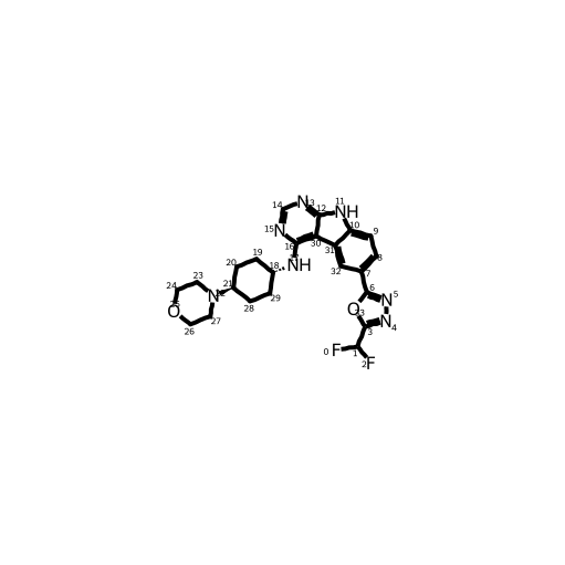 FC(F)c1nnc(-c2ccc3[nH]c4ncnc(N[C@H]5CC[C@H](N6CCOCC6)CC5)c4c3c2)o1